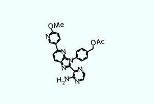 COc1ccc(-c2ccc3nc(-c4nccnc4N)n(-c4ccc(COC(C)=O)cc4)c3n2)cn1